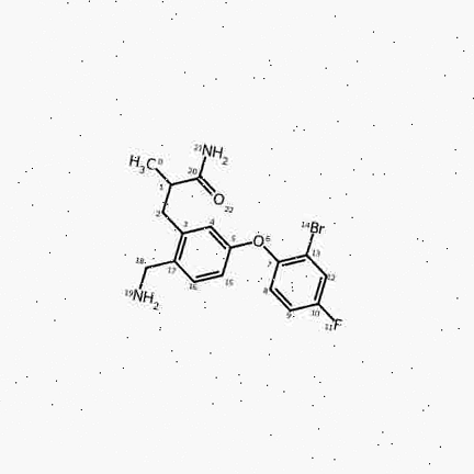 CC(Cc1cc(Oc2ccc(F)cc2Br)ccc1CN)C(N)=O